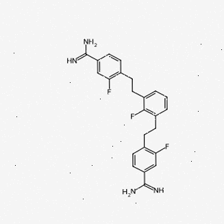 N=C(N)c1ccc(CCc2cccc(CCc3ccc(C(=N)N)cc3F)c2F)c(F)c1